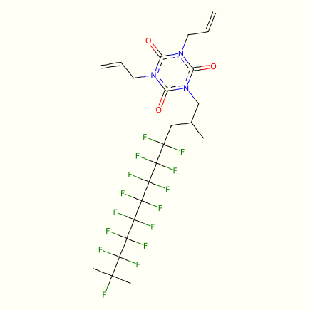 C=CCn1c(=O)n(CC=C)c(=O)n(CC(C)CC(F)(F)C(F)(F)C(F)(F)C(F)(F)C(F)(F)C(F)(F)C(F)(F)C(C)(C)F)c1=O